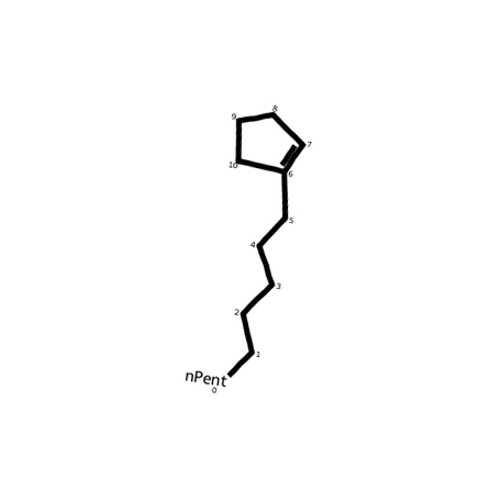 [CH2]CCCCCCCCCC1=CCCC1